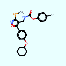 CPc1noc(-c2ccc(OC3CCCCC3)cc2)c1CNC(=O)Oc1ccc([N+](=O)[O-])cc1